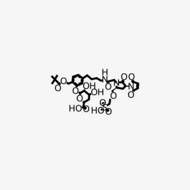 CC(C)(C)C(=O)OCc1ccc(CCCCNC(=O)CN2C(=O)[C@@H](N3C(=O)C=CC3=O)C[C@H]2COCCS(=O)(=O)O)cc1OC1OC(C(=O)O)CC(O)[C@H]1O